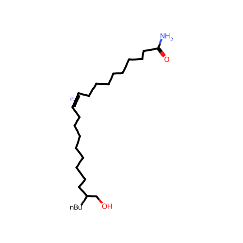 CCCCC(CO)CCCCCCCC/C=C\CCCCCCCCC(N)=O